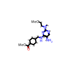 COCCN(C)c1ncc(N)c(NCC2CCC(C(=O)OC)CC2)n1